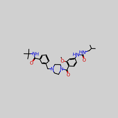 COc1cc(NC(=O)NCC(C)C)ccc1C(=O)N1CCN(Cc2cccc(C(=O)NC(C)(C)C)c2)CC1